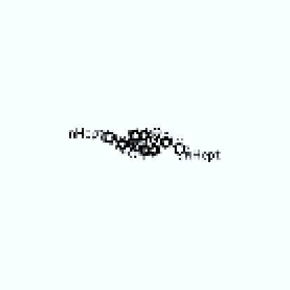 CCCCCCC[C@H]1CC[C@H](c2ccc(C(=O)Oc3ccc4ccccc4c3-c3c(OC(=O)c4ccc([C@H]5CC[C@H](CCCCCCC)CC5)cc4)ccc4ccccc34)cc2)CC1